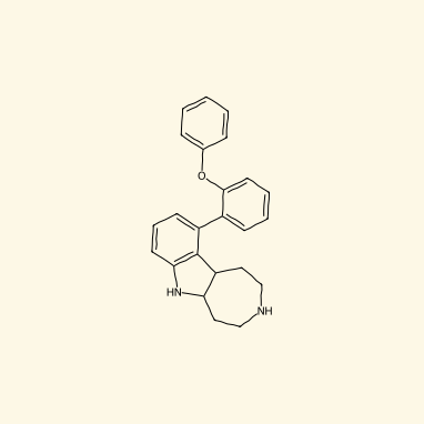 c1ccc(Oc2ccccc2-c2cccc3c2C2CCNCCC2N3)cc1